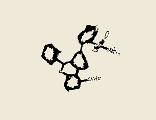 COc1cccc2c1-c1ccc(-c3ccsc3S(N)(=O)=O)cc1C(c1ccccc1)O2